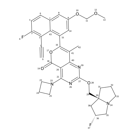 C#Cc1c(F)ccc2cc(OCOC)cc(-c3oc(=O)c4c(N5CCC5)nc(OC[C@@]56CCCN5C[C@H](F)C6)nc4c3C)c12